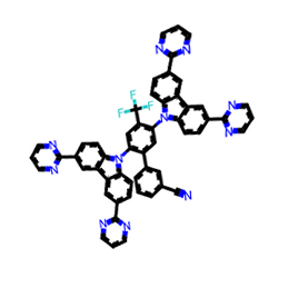 N#Cc1cccc(-c2cc(-n3c4ccc(-c5ncccn5)cc4c4cc(-c5ncccn5)ccc43)c(C(F)(F)F)cc2-n2c3ccc(-c4ncccn4)cc3c3cc(-c4ncccn4)ccc32)c1